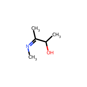 CN=C(C)C(C)O